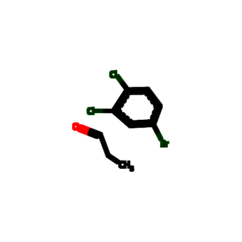 CCC=O.Clc1ccc(Br)cc1Cl